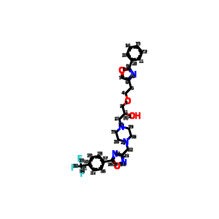 O[C@H](COCCc1coc(-c2ccccc2)n1)CN1CCN(Cc2noc(-c3ccc(C(F)(F)F)cc3)n2)CC1